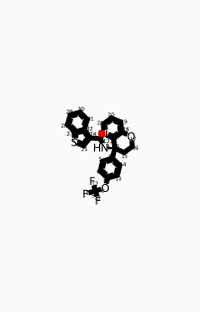 O=C(N[C@]1(c2ccc(OC(F)(F)F)cc2)CCOc2cccnc21)c1csc2ccccc12